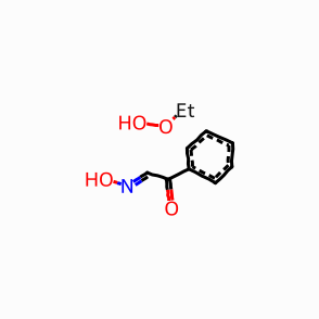 CCOO.O=C(C=NO)c1ccccc1